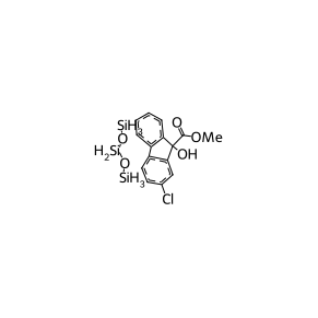 COC(=O)C1(O)c2ccccc2-c2ccc(Cl)cc21.[SiH3]O[SiH2]O[SiH3]